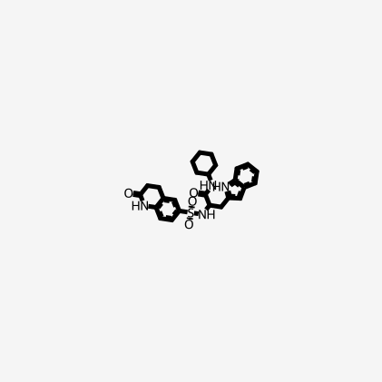 O=C1CCc2cc(S(=O)(=O)NC(Cc3cc4ccccc4[nH]3)C(=O)NC3CCCCC3)ccc2N1